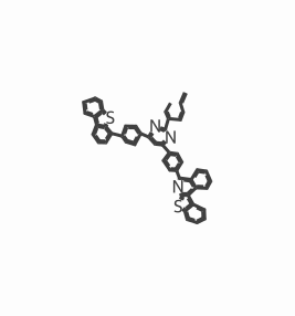 C=C/C=C\C(=C/C)c1nc(-c2ccc(-c3nc4sc5ccccc5c4c4ccccc34)cc2)cc(-c2ccc(-c3cccc4c3sc3ccccc34)cc2)n1